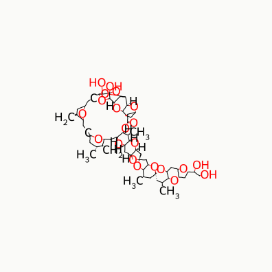 C=C1CC2CC[C@@]34OC5C6OC(O)(C(O3)[C@@H]6OC3CCC(CC(=O)O[C@@H]6[C@@H](C)[C@@H]7O[C@@H]8C[C@]9(CC%10O[C@]%11(C[C@H](C)C%12OC%13CC(C(O)CO)OC%13CC%12O%11)C[C@H](C)C%10O9)O[C@@H]8C[C@@H]7O[C@H]6CC6OC(CCC1O2)C[C@@H](C)C6=C)O[C@@H]35)C4O